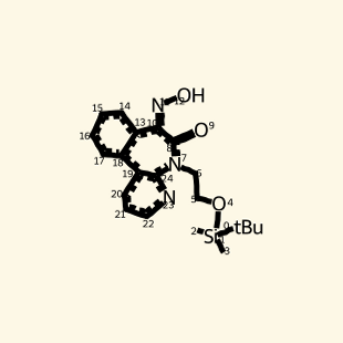 CC(C)(C)[Si](C)(C)OCCn1c(=O)/c(=N\O)c2ccccc2c2cccnc21